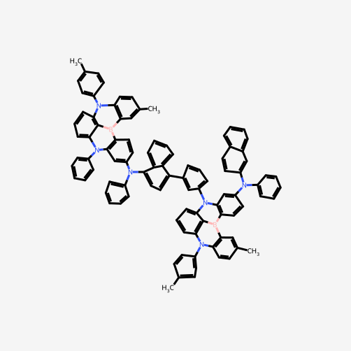 Cc1ccc(N2c3ccc(C)cc3B3c4ccc(N(c5ccccc5)c5ccc6ccccc6c5)cc4N(c4cccc(-c5ccc(N(c6ccccc6)c6ccc7c(c6)N(c6ccccc6)c6cccc8c6B7c6cc(C)ccc6N8c6ccc(C)cc6)c6ccccc56)c4)c4cccc2c43)cc1